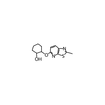 Cc1nc2ccc(OC3CCCCC3O)nc2s1